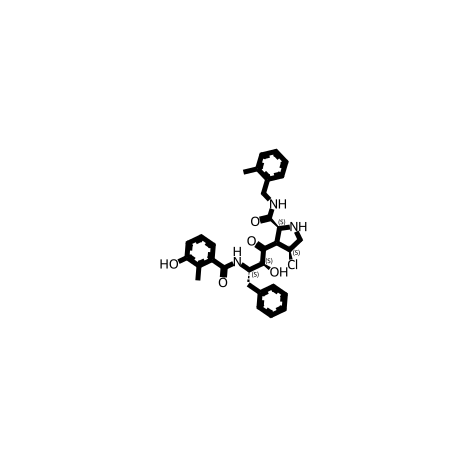 Cc1ccccc1CNC(=O)[C@H]1NC[C@@H](Cl)C1C(=O)[C@@H](O)[C@H](Cc1ccccc1)NC(=O)c1cccc(O)c1C